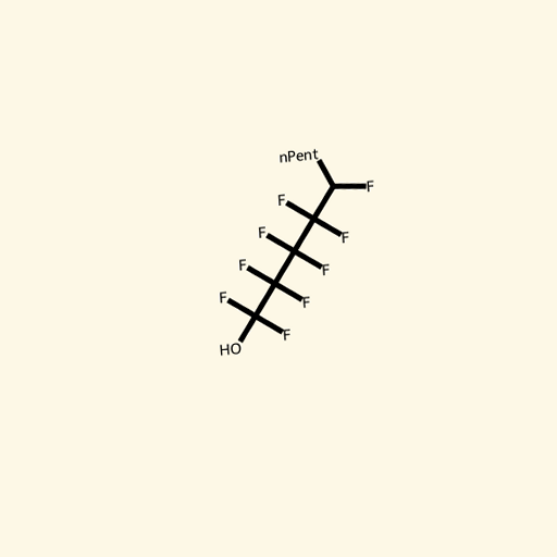 CCCCCC(F)C(F)(F)C(F)(F)C(F)(F)C(O)(F)F